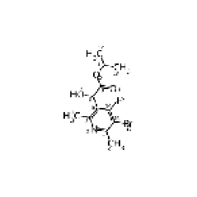 Cc1nc(C)c(C(O)C(=O)OC(C)C)c(I)c1Br